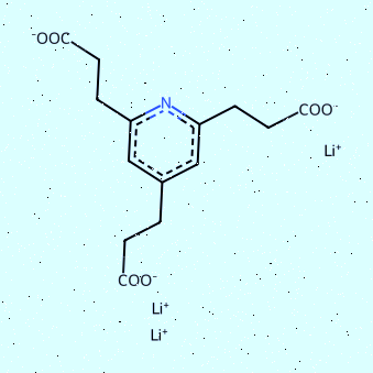 O=C([O-])CCc1cc(CCC(=O)[O-])nc(CCC(=O)[O-])c1.[Li+].[Li+].[Li+]